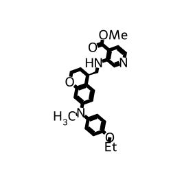 CCOc1ccc(N(C)c2ccc3c(c2)OCC[C@H]3CNc2cnccc2C(=O)OC)cc1